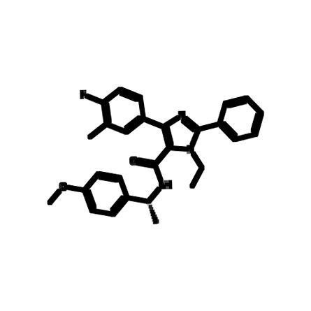 CCn1c(-c2ccccc2)nc(-c2ccc(F)c(C)c2)c1C(=O)N[C@H](C)c1ccc(OC)cc1